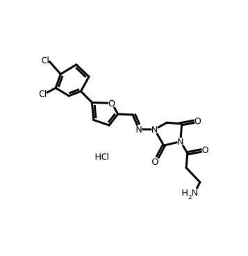 Cl.NCCC(=O)N1C(=O)CN(/N=C/c2ccc(-c3ccc(Cl)c(Cl)c3)o2)C1=O